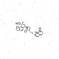 O=C(O)CC(c1ccc2c(c1)OCC2)N1CCC(CCC[C@H]2C=CC3=CCCNC3=N2)C1=O